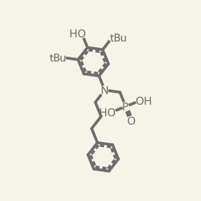 CC(C)(C)c1cc(N(CCCc2ccccc2)CP(=O)(O)O)cc(C(C)(C)C)c1O